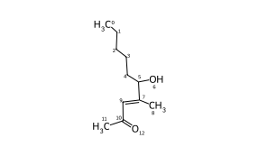 CCCCCC(O)C(C)=CC(C)=O